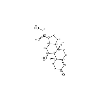 C[C@]12CCC(=O)C=C1CC[C@H]1C3CC[C@H](C(=O)CO)C3C[C@H](O)C12